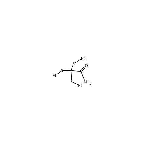 CCSC(SCC)(SCC)C(N)=O